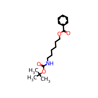 CC(C)(C)OC(=O)NCCCCCCOC(=O)c1ccccc1